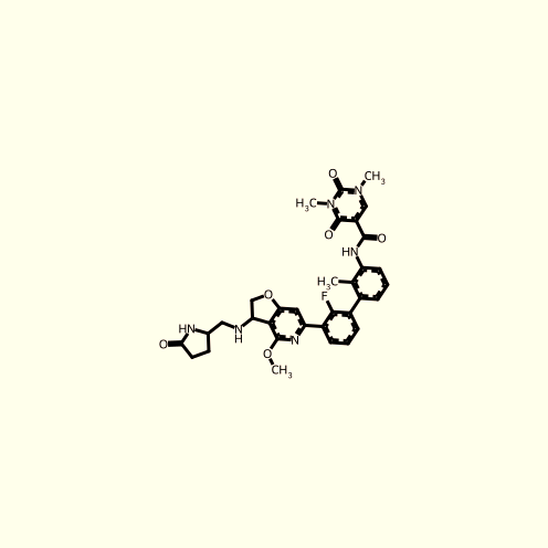 COc1nc(-c2cccc(-c3cccc(NC(=O)c4cn(C)c(=O)n(C)c4=O)c3C)c2F)cc2c1C(NCC1CCC(=O)N1)CO2